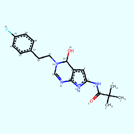 CC(C)(C)C(=O)Nc1cc2c([nH]1)N=CN(CCc1ccc(F)cc1)C2O